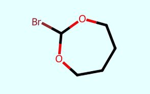 BrC1OCCCCO1